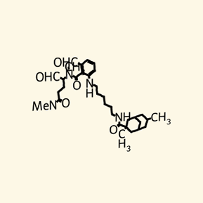 CNC(=O)CCC(C=O)N(C)C(=O)c1c(C=O)cccc1NCCCCCCNC(=O)C1(C)CC2CC(C)CC(C2)C1